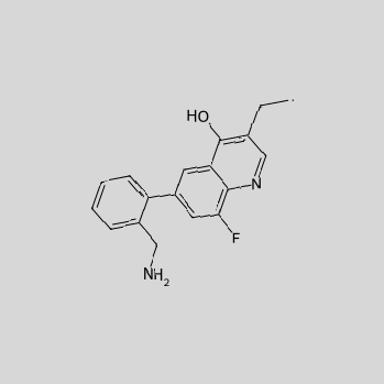 [CH2]Cc1cnc2c(F)cc(-c3ccccc3CN)cc2c1O